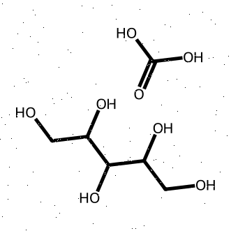 O=C(O)O.OCC(O)C(O)C(O)CO